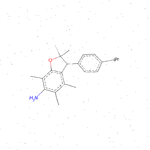 Cc1c(C)c2c(c(C)c1N)OC(C)(C)C2c1ccc(C(C)C)cc1